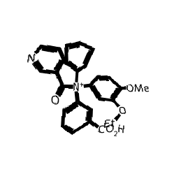 CCOc1cc([N+](C(=O)c2cccnc2)(c2ccccc2)c2cccc(C(=O)O)c2)ccc1OC